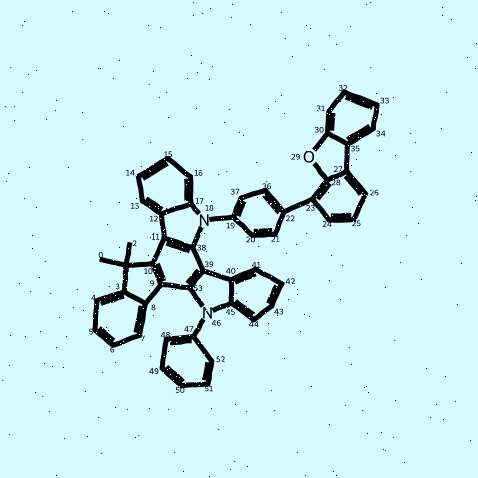 CC1(C)c2ccccc2-c2c1c1c3ccccc3n(-c3ccc(-c4cccc5c4oc4ccccc45)cc3)c1c1c3ccccc3n(-c3ccccc3)c21